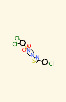 O=S(=O)(c1ccc(Cl)c(Cl)c1)N1CCN(c2nc(-c3ccc(Cl)cc3)cs2)CC1